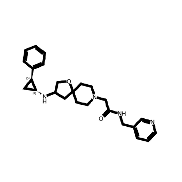 O=C(CN1CCC2(CC1)CC(N[C@@H]1C[C@H]1c1ccccc1)CO2)NCc1cccnc1